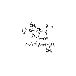 CCCCCCCCCCC(CO[SiH3])(O[Si](C)(C)C)O[Si](C)(C)C